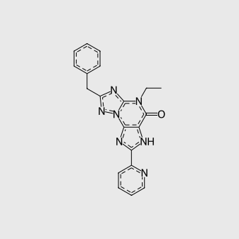 CCn1c(=O)c2[nH]c(-c3ccccn3)nc2n2nc(Cc3ccccc3)nc12